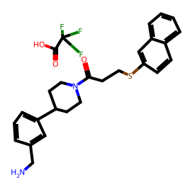 NCc1cccc(C2CCN(C(=O)CCSc3ccc4ccccc4c3)CC2)c1.O=C(O)C(F)(F)F